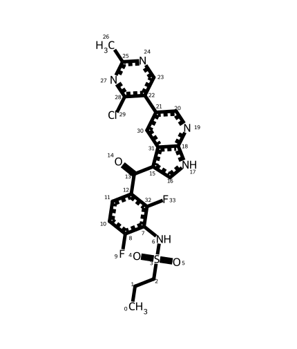 CCCS(=O)(=O)Nc1c(F)ccc(C(=O)c2c[nH]c3ncc(-c4cnc(C)nc4Cl)cc23)c1F